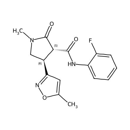 Cc1cc([C@H]2CN(C)C(=O)[C@@H]2C(=O)Nc2ccccc2F)no1